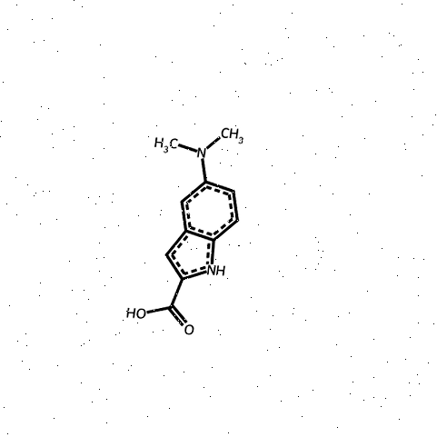 CN(C)c1ccc2[nH]c(C(=O)O)cc2c1